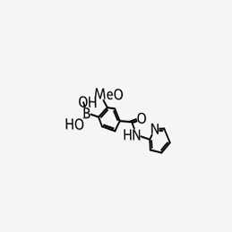 COc1cc(C(=O)Nc2ccccn2)ccc1B(O)O